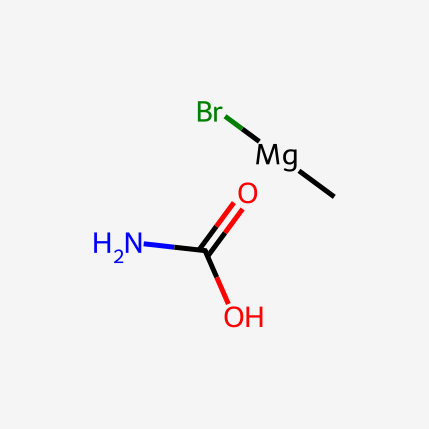 NC(=O)O.[CH3][Mg][Br]